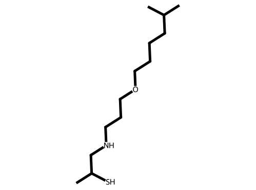 CC(C)CCCCOCCCNCC(C)S